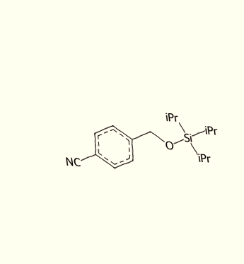 CC(C)[Si](OCc1ccc(C#N)cc1)(C(C)C)C(C)C